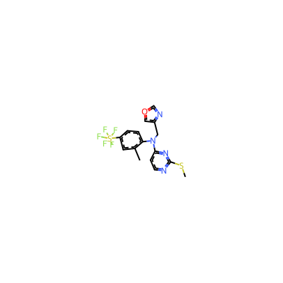 CSc1nccc(N(Cc2cocn2)c2ccc(S(F)(F)(F)(F)F)cc2C)n1